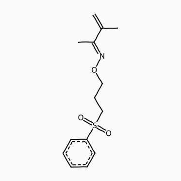 C=C(C)/C(C)=N/OCCCS(=O)(=O)c1ccccc1